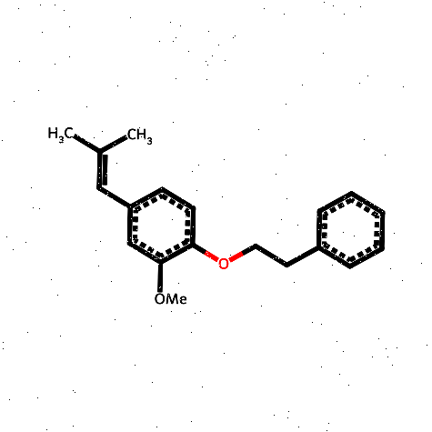 COc1cc(C=C(C)C)ccc1OCCc1ccccc1